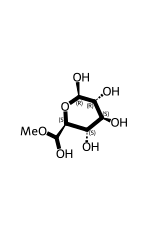 COC(O)[C@H]1O[C@@H](O)[C@H](O)[C@@H](O)[C@@H]1O